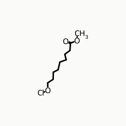 COC(=O)CCCCCCCCOCl